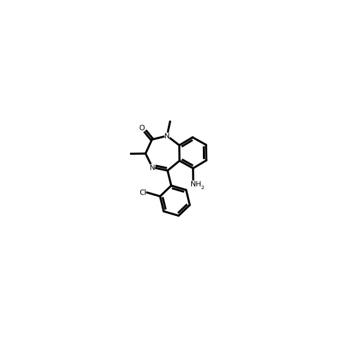 CC1N=C(c2ccccc2Cl)c2c(N)cccc2N(C)C1=O